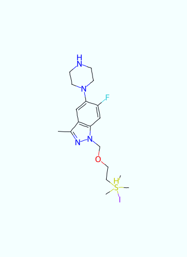 Cc1nn(COCC[SH](C)(C)(C)I)c2cc(F)c(N3CCNCC3)cc12